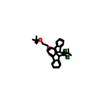 C[C](C)=[Zr]([Cl])([Cl])([CH]1C=C(OCCO[Si](C)(C)C)c2ccccc21)[CH]1c2ccccc2-c2ccccc21